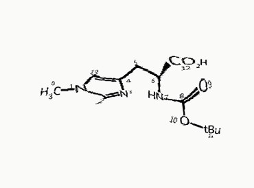 Cn1cnc(C[C@H](NC(=O)OC(C)(C)C)C(=O)O)c1